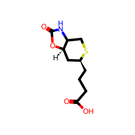 O=C(O)CCC[C@H]1C[C@H]2OC(=O)NC2CS1